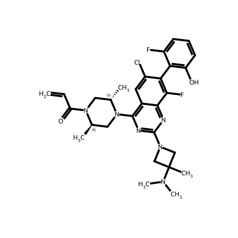 C=CC(=O)N1C[C@H](C)N(c2nc(N3CC(C)(N(C)C)C3)nc3c(F)c(-c4c(O)cccc4F)c(Cl)cc23)C[C@H]1C